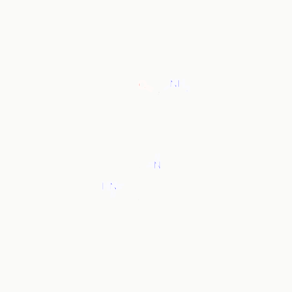 NC(=O)c1ccc2nc(-c3ccc[nH]3)sc2c1